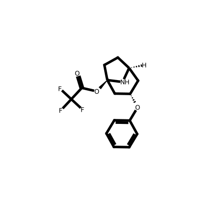 O=C(O[C@]12CC[C@@H](C[C@H](Oc3ccccc3)C1)N2)C(F)(F)F